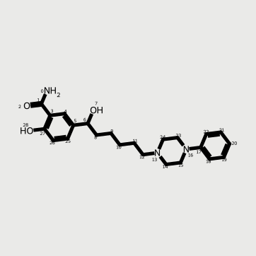 NC(=O)c1cc(C(O)CCCCCN2CCN(c3ccccc3)CC2)ccc1O